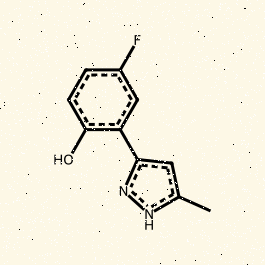 Cc1cc(-c2cc(F)ccc2O)n[nH]1